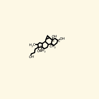 CC1CC2C3C4CC4[C@]4(O)C[C@@H](O)CC[C@]4(C)C3CC[C@]2(C)[C@]1(O)CCCO